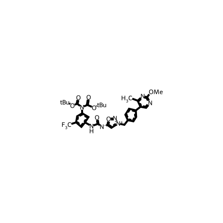 COc1ncc(-c2ccc(C[n+]3cc([N-]C(=O)Nc4cc(N(C(=O)OC(C)(C)C)C(=O)OC(C)(C)C)cc(C(F)(F)F)c4)on3)cc2)c(C)n1